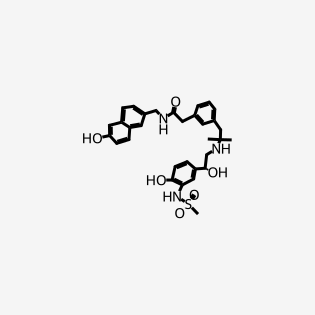 CC(C)(Cc1cccc(CC(=O)NCc2ccc3cc(O)ccc3c2)c1)NC[C@H](O)c1ccc(O)c(NS(C)(=O)=O)c1